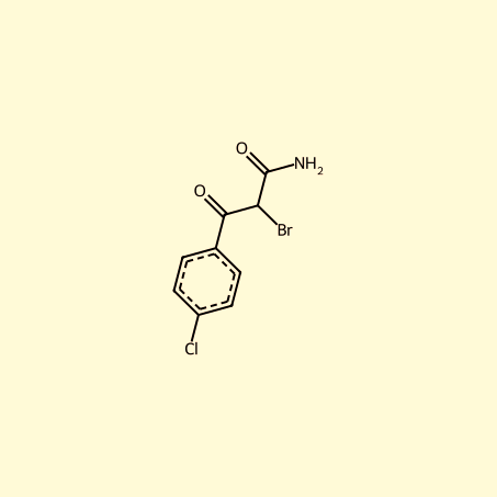 NC(=O)C(Br)C(=O)c1ccc(Cl)cc1